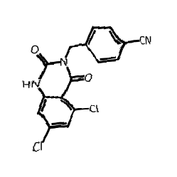 N#Cc1ccc(Cn2c(=O)[nH]c3cc(Cl)cc(Cl)c3c2=O)cc1